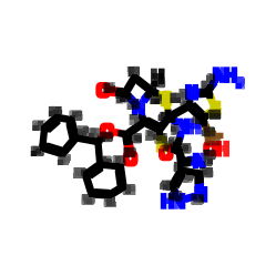 Nc1nc(C2(NC(=O)/C=N\O)S[C@@H]3CC(=O)N3C(C(=O)OC(c3ccccc3)c3ccccc3)=C2SCc2cn[nH]c2)c(Br)s1